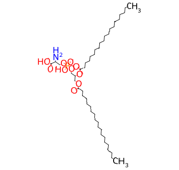 CCCCCCCCCCCCCCCCCCCC(=O)OCC(COP(=O)(O)OCC(N)C(=O)O)OC(=O)CCCCCCCCCCCCCCCCCCC